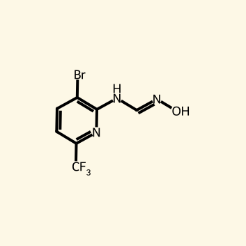 O/N=C/Nc1nc(C(F)(F)F)ccc1Br